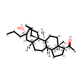 CCC[C@@]1(O)CC[C@@]2(CCC)[C@H](CC[C@H]3[C@@H]4CC[C@H](C(C)=O)[C@@]4(C)CC[C@@H]32)C1